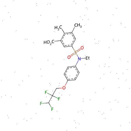 CCN(c1ccc(OCC(F)(F)C(F)F)cc1)S(=O)(=O)c1cc(C)c(C)c(C(=O)O)c1